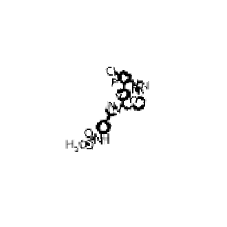 COC(=O)Nc1ccc(-c2cnn(C(C[C@@H]3CCCCO3)c3ccc(-c4c(-n5cnnn5)ccc(Cl)c4F)cn3)c2)cc1